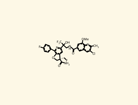 COc1cc(C(=O)NCC(O)(c2cc3c(c(-c4ccc(F)cc4)n2)OC[C@]3(CF)C(N)=O)C(F)(F)F)cc2cc(Cl)c(C)nc12